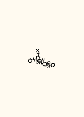 CC(C)(C)CC(C)(C)c1cc(-n2nc3ccc(S(=O)(=O)c4ccccc4)cc3n2)c(O)c(C(C)(C)c2ccccc2)c1